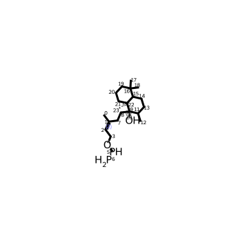 C/C(=C/COPP)CC[C@@]1(O)C(C)CCC2C(C)(C)CCC[C@@]21C